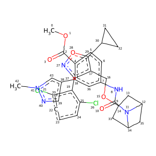 COC(=O)c1ccc(NC(=O)N2C3CC(OCc4c(-c5c(Cl)cccc5Cl)noc4C4CC4)CC2C3)cc1-c1cnn(C)c1